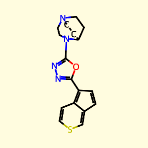 c1cc2c(-c3nnc(N4CCN5CCC4CC5)o3)ccc-2cs1